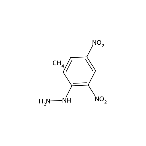 C.NNc1ccc([N+](=O)[O-])cc1[N+](=O)[O-]